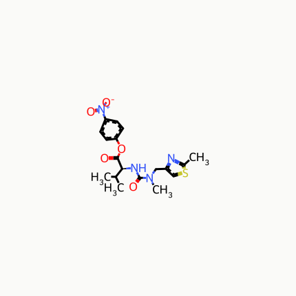 Cc1nc(CN(C)C(=O)N[C@H](C(=O)Oc2ccc([N+](=O)[O-])cc2)C(C)C)cs1